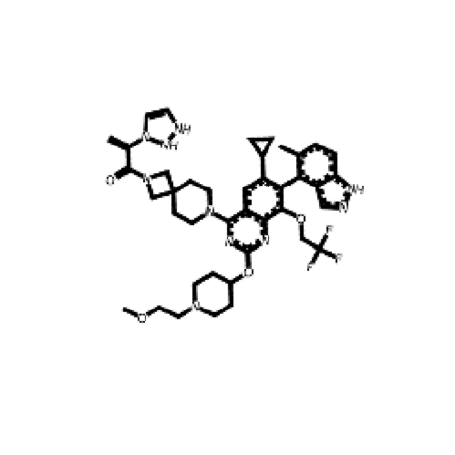 C=C(C(=O)N1CC2(CCN(c3nc(OC4CCN(CCOC)CC4)nc4c(OCC(F)(F)F)c(-c5c(C)ccc6[nH]ncc56)c(C5CC5)cc34)CC2)C1)N1C=CNN1